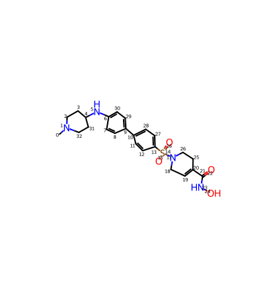 CN1CCC(Nc2ccc(-c3ccc(S(=O)(=O)N4CC=C(C(=O)NO)CC4)cc3)cc2)CC1